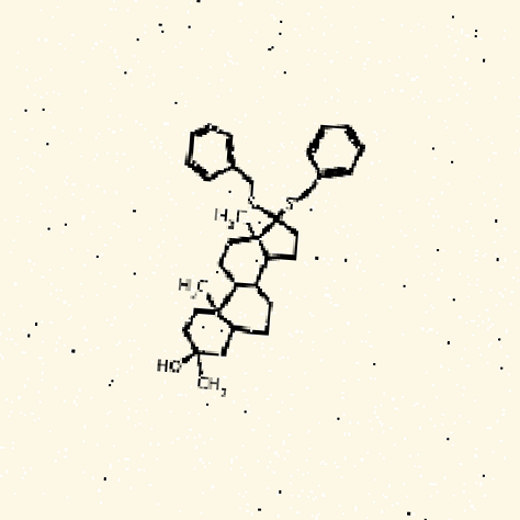 C[C@@]1(O)CC[C@@]2(C)C(CCC3C2CC[C@@]2(C)C3CCC2(SCc2ccccc2)SCc2ccccc2)C1